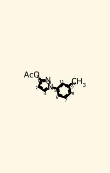 CC(=O)Oc1ccn(-c2cccc(C)c2)n1